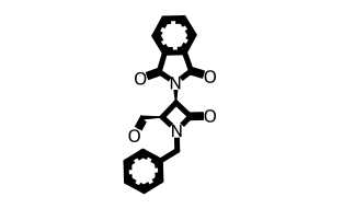 O=C[C@H]1[C@@H](N2C(=O)c3ccccc3C2=O)C(=O)N1Cc1ccccc1